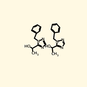 CC(O)c1ncnn1Cc1ccccc1.CC(O)c1ncnn1Cc1ccccc1